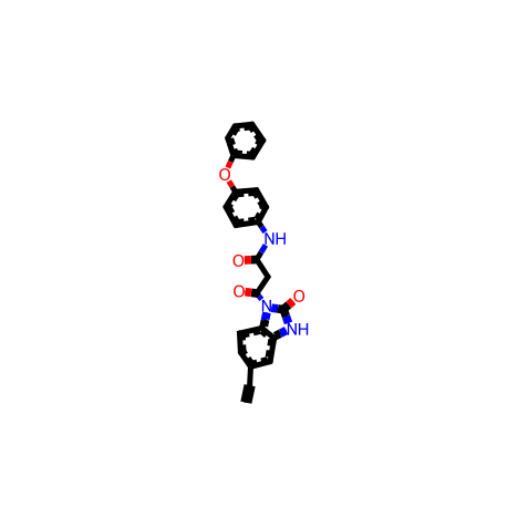 C#Cc1ccc2c(c1)[nH]c(=O)n2C(=O)CC(=O)Nc1ccc(Oc2ccccc2)cc1